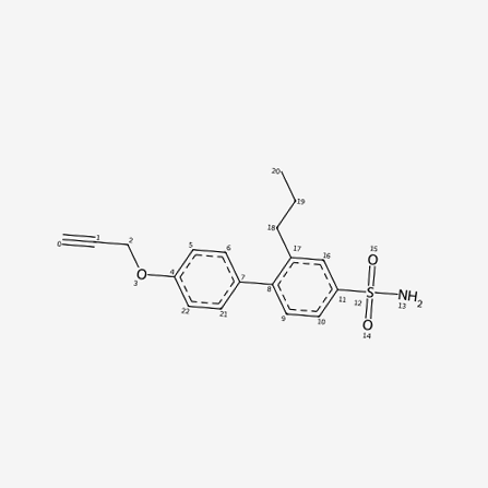 C#CCOc1ccc(-c2ccc(S(N)(=O)=O)cc2CCC)cc1